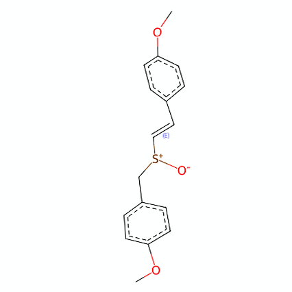 COc1ccc(/C=C/[S+]([O-])Cc2ccc(OC)cc2)cc1